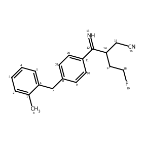 Cc1ccccc1Cc1ccc(C(=N)C(CC#N)CCF)cc1